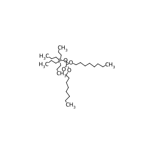 CCCCCCCCOP(=O)(OCCCCCCCC)OP(CCC)(CCC)(CCC)CCC